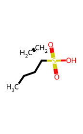 C=C.CCCCS(=O)(=O)O